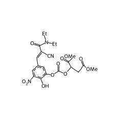 CCN(CC)C(=O)/C(C#N)=C/c1cc(OC(=O)OC(CC(=O)OC)C(=O)OC)c(O)c([N+](=O)[O-])c1